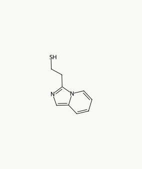 SCCc1ncc2ccccn12